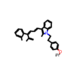 C=C(C)/C(=C\C=C\c1c(C)n(CCc2ccc(OC(C)C)cc2)c2ccccc12)c1ccccc1C